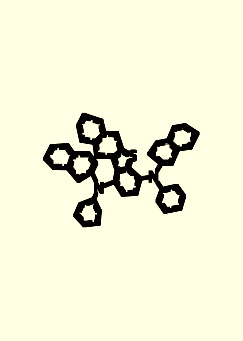 c1ccc(N(c2ccc3ccccc3c2)c2ccc(N(c3ccccc3)c3ccc4ccccc4c3)c3c2sc2cc4ccccc4cc23)cc1